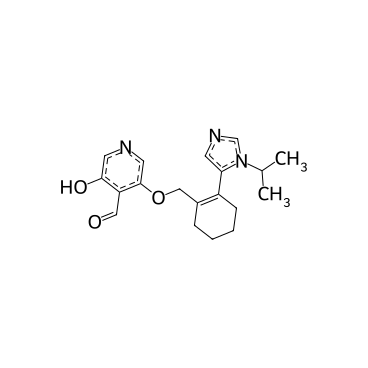 CC(C)n1cncc1C1=C(COc2cncc(O)c2C=O)CCCC1